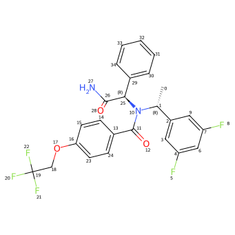 C[C@H](c1cc(F)cc(F)c1)N(C(=O)c1ccc(OCC(F)(F)F)cc1)[C@@H](C(N)=O)c1ccccc1